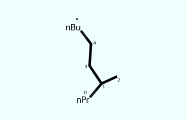 C[CH]CC(C)CCCCCC